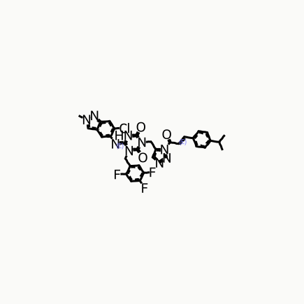 CC(C)c1ccc(/C=C/C(=O)n2nncc2Cn2c(=O)[nH]/c(=N\c3cc4cn(C)nc4cc3Cl)n(Cc3cc(F)c(F)cc3F)c2=O)cc1